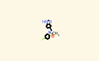 CS(=O)(=NCc1ccc2[nH]cnc2c1)c1ccc(F)cc1